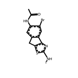 CC(=O)Nc1cc2c(cc1Br)-c1nc(NI)sc1C2